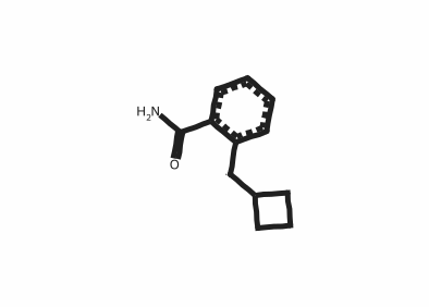 NC(=O)c1ccccc1[CH]C1CCC1